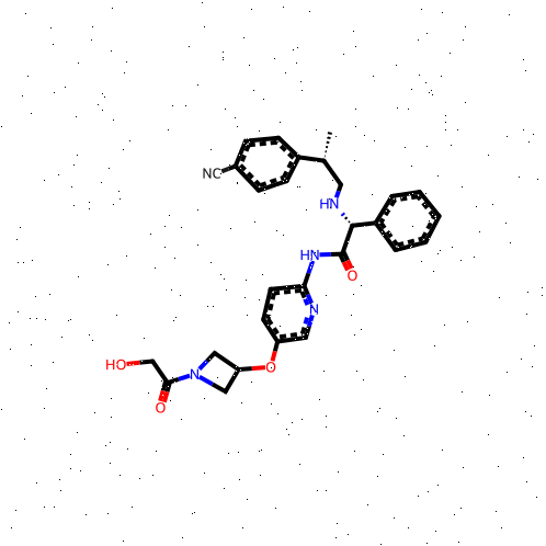 C[C@H](CN[C@@H](C(=O)Nc1ccc(OC2CN(C(=O)CO)C2)cn1)c1ccccc1)c1ccc(C#N)cc1